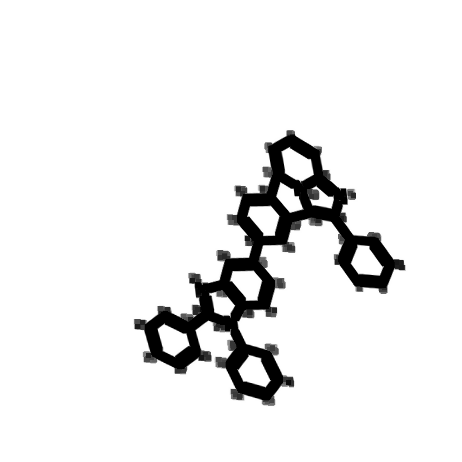 c1ccc(-c2nc3cccc4c5ccc(-c6ccc7c(c6)nc(-c6ccccc6)n7-c6ccccc6)cc5c2n34)cc1